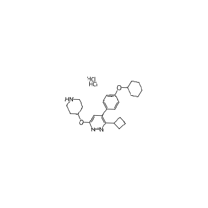 Cl.Cl.c1cc(-c2cc(OC3CCNCC3)nnc2C2CCC2)ccc1OC1CCCCC1